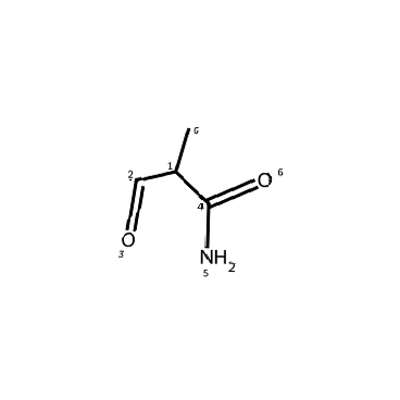 CC([C]=O)C(N)=O